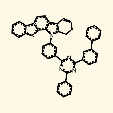 C1=Cc2c(n(-c3cccc(-c4nc(-c5ccccc5)nc(-c5cccc(-c6ccccc6)c5)n4)c3)c3c2ccc2c4ccccc4sc23)CC1